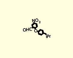 CC(C)Cc1ccc(Oc2ccc([N+](=O)[O-])cc2C=O)cc1